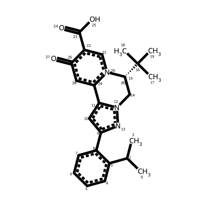 CC(C)c1ccccc1-c1cc2n(n1)C[C@@H](C(C)(C)C)n1cc(C(=O)O)c(=O)cc1-2